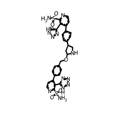 NS(=O)(=O)c1nccc(-c2ccc(COC3CC(c4ccc(-c5ccnc(S(N)(=O)=O)c5-c5nnn[nH]5)cc4)CN3)cc2)c1-c1nnn[nH]1